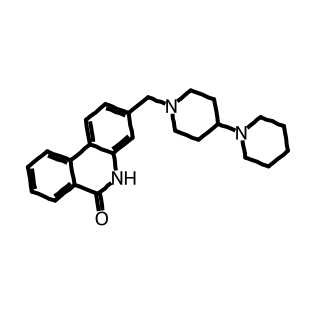 O=c1[nH]c2cc(CN3CCC(N4CCCCC4)CC3)ccc2c2ccccc12